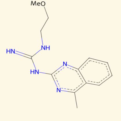 COCCNC(=N)Nc1nc(C)c2ccccc2n1